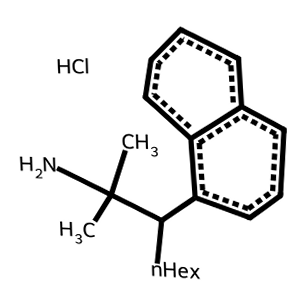 CCCCCCC(c1cccc2ccccc12)C(C)(C)N.Cl